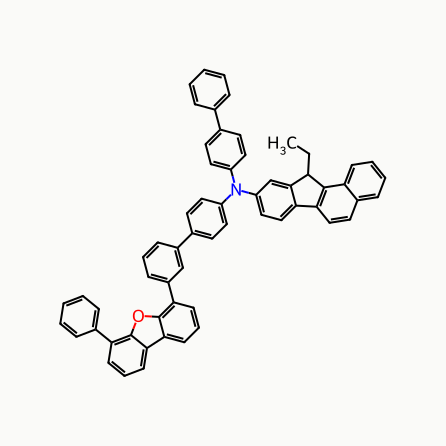 CCC1c2cc(N(c3ccc(-c4ccccc4)cc3)c3ccc(-c4cccc(-c5cccc6c5oc5c(-c7ccccc7)cccc56)c4)cc3)ccc2-c2ccc3ccccc3c21